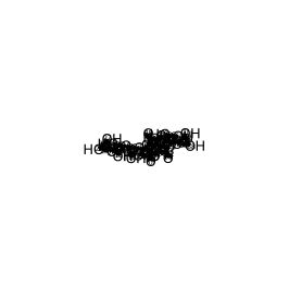 O=Nc1cc(O)c(Oc2cc(O)cc(Oc3cc(O)c(Oc4cc(O)cc(O)c4)c(O)c3)c2)c2c1Oc1c(c(N=O)cc(N=O)c1-c1c(N=O)cc(N=O)c3c1Oc1c(O)cc(O)c(Oc4cc(O)cc(O)c4)c1O3)O2